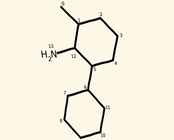 CC1CCCC(C2CCCCC2)C1N